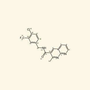 Cc1nc2ncccc2cc1C(=O)NCc1ccc(Cl)c(C(F)(F)F)c1